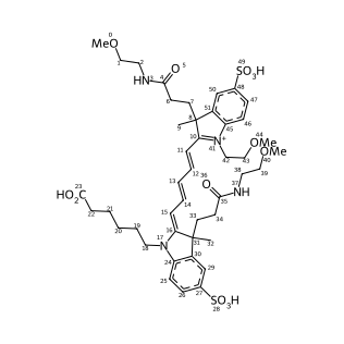 COCCNC(=O)CCC1(C)C(/C=C/C=C/C=C2/N(CCCCCC(=O)O)c3ccc(S(=O)(=O)O)cc3C2(C)CCC(=O)NCCOC)=[N+](CCOC)c2ccc(S(=O)(=O)O)cc21